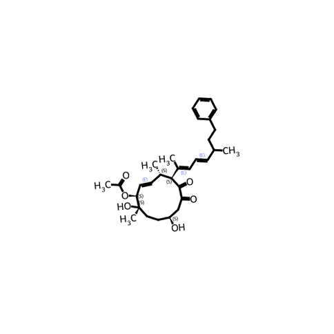 CC(=O)O[C@H]1/C=C/[C@H](C)[C@@H](/C(C)=C/C=C/C(C)CCc2ccccc2)C(=O)C(=O)C[C@@H](O)CC[C@]1(C)O